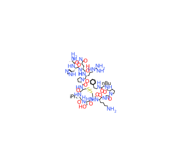 CCCC[C@H](NC(=O)[C@H]1CCCN1C(=O)CNC(=O)[C@@H](CCCCN)NC(=O)[C@H]1CSSC[C@H](NC(=O)[C@@H]2CCCN2C(=O)[C@H](CCCNC(=N)N)NC(O)[C@H](CCC(N)=O)NC(=O)[C@H](Cc2cnc[nH]2)NC(=O)[C@H](C)N)C(=O)N[C@@H](CC(C)C)C(=O)N[C@H](CO)C(=O)N1)C(=O)NCCc1ccccc1